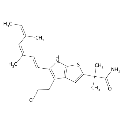 C\C=C(C)/C=C(C)\C=C\c1[nH]c2sc(C(C)(C)C(N)=O)cc2c1CCCl